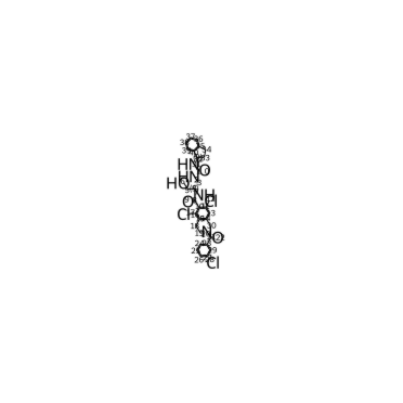 O=C(NC[C@@H](CO)NC(=O)c1c(Cl)cc2c(c1Cl)CCN(C(=O)c1cccc(Cl)c1)C2)N[C@@H]1CCc2ccccc21